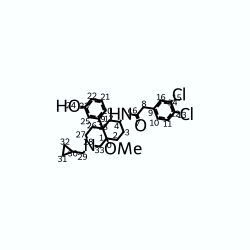 COC12CC[C@H](NC(=O)Cc3ccc(Cl)c(Cl)c3)CC1(c1cccc(O)c1)CCN(CC1CC1)C2